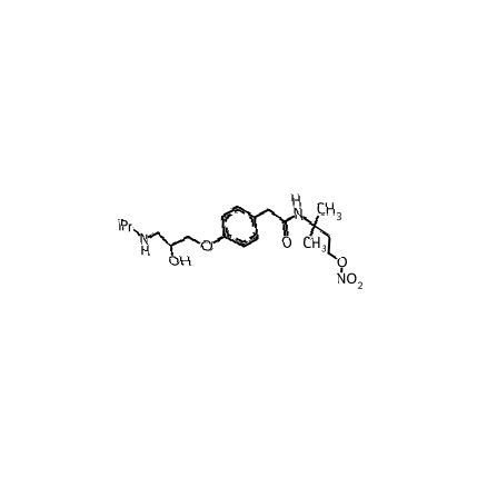 CC(C)NCC(O)COc1ccc(CC(=O)NC(C)(C)CCO[N+](=O)[O-])cc1